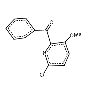 COc1ccc(Cl)nc1C(=O)c1ccccc1